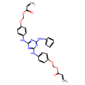 C=CC(=O)OCOc1ccc(Nc2nc(Nc3ccccc3)nc(Nc3ccc(OCOC(=O)C=C)cc3)n2)cc1